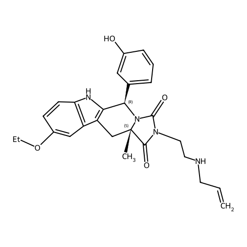 C=CCNCCN1C(=O)N2[C@H](c3cccc(O)c3)c3[nH]c4ccc(OCC)cc4c3C[C@@]2(C)C1=O